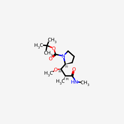 CNC(=O)[C@H](C)[C@@H](OC)[C@@H]1CCCN1C(=O)OC(C)(C)C